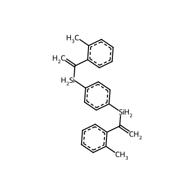 C=C([SiH2]c1ccc([SiH2]C(=C)c2ccccc2C)cc1)c1ccccc1C